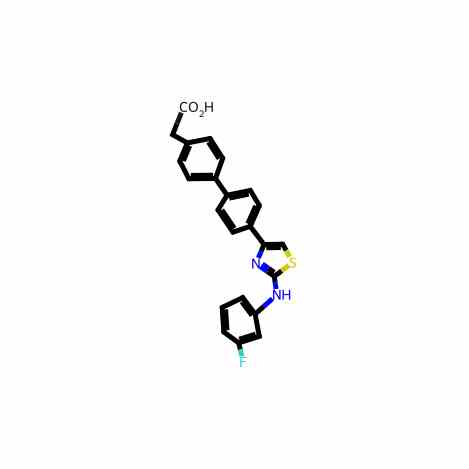 O=C(O)Cc1ccc(-c2ccc(-c3csc(Nc4cccc(F)c4)n3)cc2)cc1